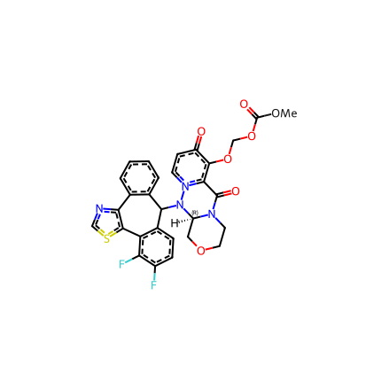 COC(=O)OCOc1c2n(ccc1=O)N(C1c3ccccc3-c3ncsc3-c3c1ccc(F)c3F)[C@@H]1COCCN1C2=O